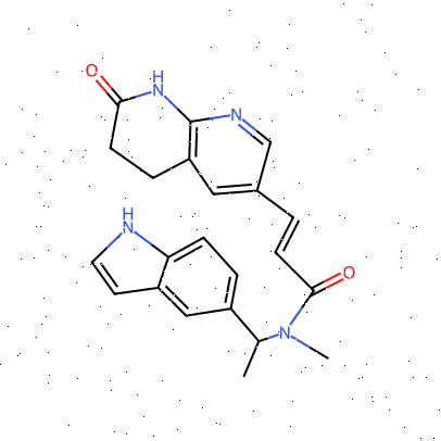 CC(c1ccc2[nH]ccc2c1)N(C)C(=O)C=Cc1cnc2c(c1)CCC(=O)N2